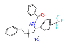 CC(C)(CCc1ccccc1)CC(NC(=O)c1ccccc1)c1ccc(C(F)(F)F)cc1.[N]